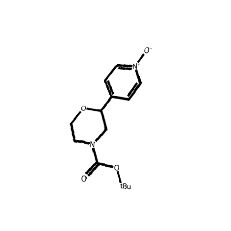 CC(C)(C)OC(=O)N1CCOC(c2cc[n+]([O-])cc2)C1